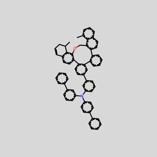 Cc1cccc2ccc3c(c12)COc1c(ccc2c1C(C)CC=C2)-c1ccc(-c2cccc(N(c4ccc(-c5ccccc5)cc4)c4cccc(-c5ccccc5)c4)c2)cc1-c1ccccc1-3